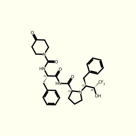 O=C1CCN(C(=O)N[C@@H](Cc2ccccc2)C(=O)NC(=O)[C@@H]2CCCN2[C@@H](Cc2ccccc2)[C@@H](O)C(F)(F)F)CC1